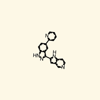 c1ccc(-c2ccc3[nH]nc(-c4cc5cnccc5[nH]4)c3c2)nc1